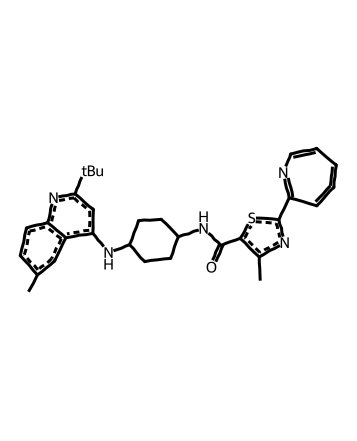 Cc1ccc2nc(C(C)(C)C)cc(NC3CCC(NC(=O)c4sc(C5=NC=CC=C=C5)nc4C)CC3)c2c1